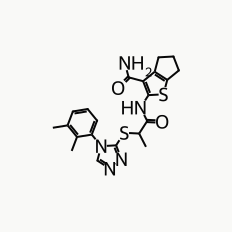 Cc1cccc(-n2cnnc2SC(C)C(=O)Nc2sc3c(c2C(N)=O)CCC3)c1C